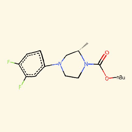 CCCCOC(=O)N1CCN(c2ccc(F)c(F)c2)C[C@@H]1C